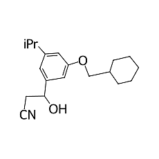 CC(C)c1cc(OCC2CCCCC2)cc(C(O)CC#N)c1